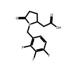 O=C(O)CC1CCC(=O)N1Cc1ccc(F)c(F)c1F